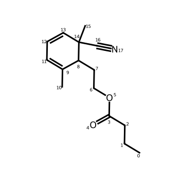 CCCC(=O)OCCC1C(C)=CC=CC1(C)C#N